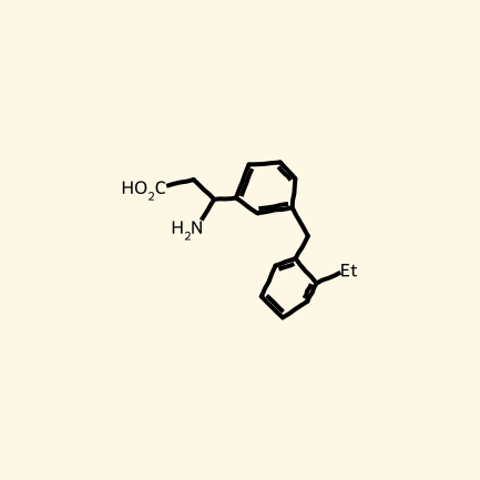 CCc1ccccc1Cc1cccc(C(N)CC(=O)O)c1